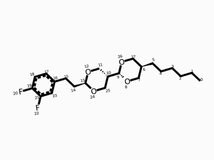 CCCCCC[C@H]1CO[C@H]([C@H]2CO[C@H](CCc3ccc(F)c(F)c3)OC2)OC1